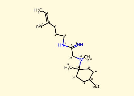 C/C=C(\CCC)CCCNC(=N)CN(C)C1(C)CCC(CC)CC1